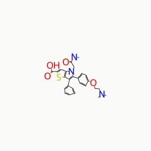 CN(C)CCOc1ccc(-c2c(-c3ccccc3)c3sc(C(=O)O)cc3n2CC(=O)N(C)C)cc1